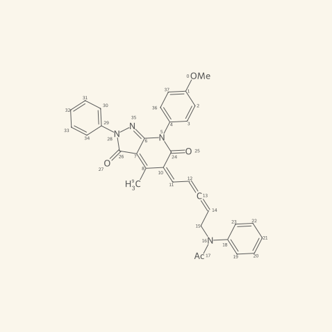 COc1ccc(-n2c3c(c(C)c(=CC=C=CCN(C(C)=O)c4ccccc4)c2=O)C(=O)N(c2ccccc2)N=3)cc1